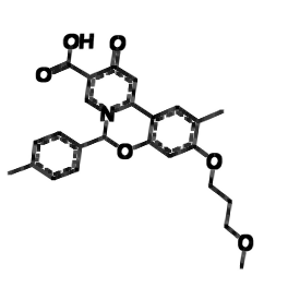 COCCCOc1cc2c(cc1C)-c1cc(=O)c(C(=O)O)cn1C(c1ccc(C)cc1)O2